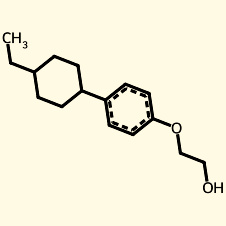 CCC1CCC(c2ccc(OCCO)cc2)CC1